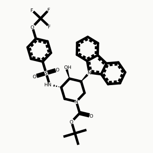 CC(C)(C)OC(=O)N1C[C@H](NS(=O)(=O)c2ccc(OC(F)(F)F)cc2)[C@@H](O)[C@@H](n2c3ccccc3c3ccccc32)C1